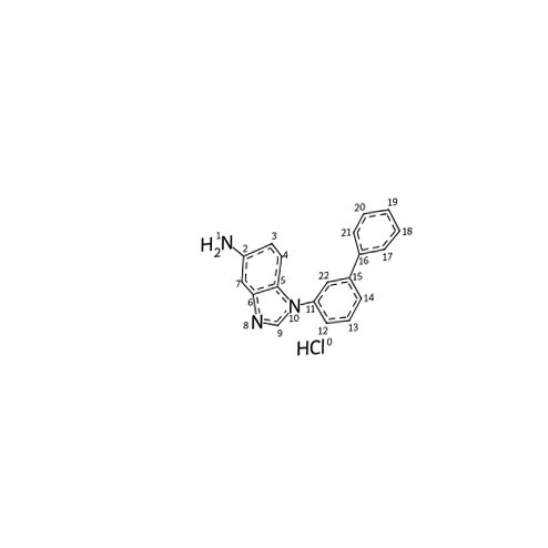 Cl.Nc1ccc2c(c1)ncn2-c1cccc(-c2ccccc2)c1